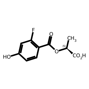 C[C@H](OC(=O)c1ccc(O)cc1F)C(=O)O